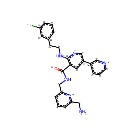 NCc1cccc(CNC(=O)c2cc(-c3cccnc3)cnc2NCCc2cccc(F)c2)n1